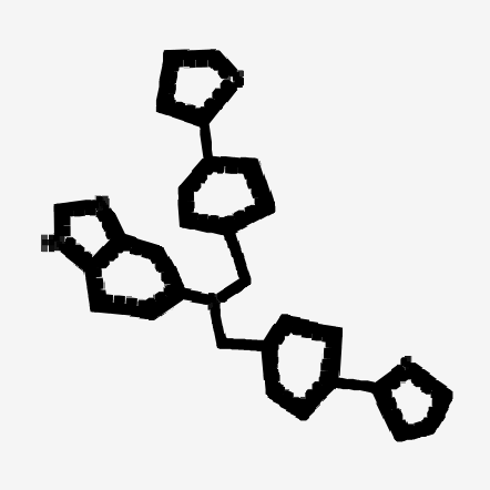 c1csc(-c2ccc(CN(Cc3ccc(-c4cccs4)cc3)c3ccc4[nH]cnc4c3)cc2)c1